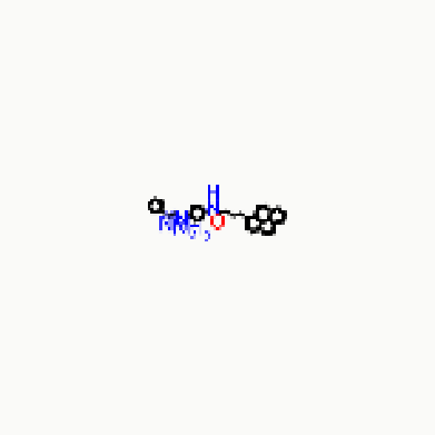 N/C(=C\N(N)c1ccc(NC(=O)CCCc2ccc3ccc4cccc5ccc2c3c45)cc1)C1=CCC=C1